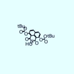 CC(C)(C)OC(=O)Oc1ccc2ccc(OC(=O)OC(C)(C)C)c3c2c1C(=O)N(O)C3=O